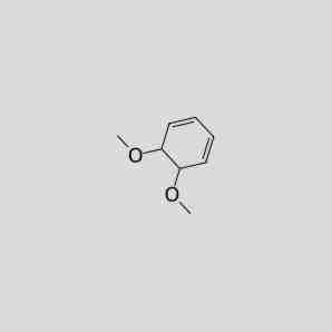 COC1C=CC=CC1OC